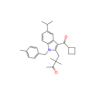 CC(=O)C(C)(C)Cc1c(C(=O)C2CCC2)c2cc(C(C)C)ccc2n1Cc1ccc(C)cc1